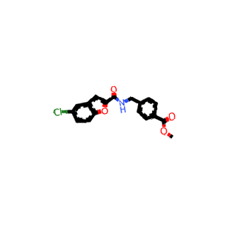 COC(=O)c1ccc(CNC(=O)c2cc3cc(Cl)ccc3o2)cc1